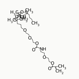 C=C(C)C(=O)OCCOCCNC(=O)OCCOCCOCCC[Si](C)(C)O[Si](C)(C)O[Si](C)(C)CCCC